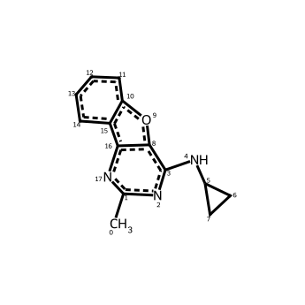 Cc1nc(NC2CC2)c2oc3ccccc3c2n1